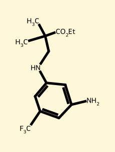 CCOC(=O)C(C)(C)CNc1cc(N)cc(C(F)(F)F)c1